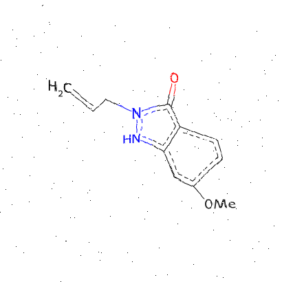 C=CCn1[nH]c2cc(OC)ccc2c1=O